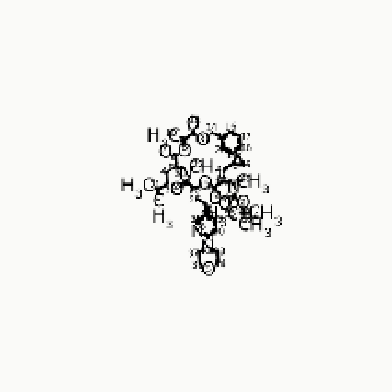 CC(C)CC[C@@H](C(=O)O[C@H](C)C(=O)OCc1ccccc1)N(C)C(=O)[C@@H](CCc1ccc(N2CCOCC2)nc1)OC(=O)[C@H](CC1CC1)N(C)C(=O)OC(C)(C)C